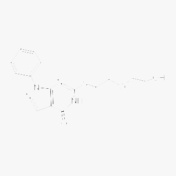 O=c1[nH]c(SCCOCCO)nc2c1cnn2-c1ccccc1